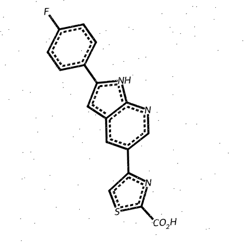 O=C(O)c1nc(-c2cnc3[nH]c(-c4ccc(F)cc4)cc3c2)cs1